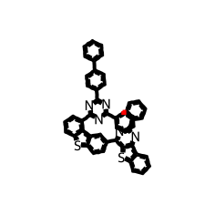 c1ccc(-c2ccc(-c3nc(-c4ccccc4)nc(-c4cccc5sc6ccc(-c7nc(-c8ccccc8)nc8c7sc7ccccc78)cc6c45)n3)cc2)cc1